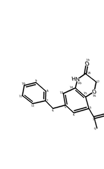 CC(=O)c1cc(Cc2ccccc2)cc2c1OCC(=O)N2